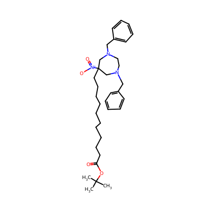 CC(C)(C)OC(=O)CCCCCCCCCCC1([N+](=O)[O-])CN(Cc2ccccc2)CCN(Cc2ccccc2)C1